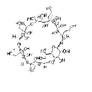 OCC[C@H]1O[C@H](O)/C(O)=C(\O)[C@@H](CCO)O[C@H]2OC(CO)[C@@H](O[C@H]3OC(CO)[C@H](O[C@H]4OC(CO)[C@@H](O[C@H]5OC(CO)[C@@H](O[C@@H](O)/C(O)=C/1O)C(O)C5O)C(O)C4O)C(O)C3O)C(O)C2O